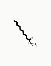 COC(=O)CCCCCCC=CI